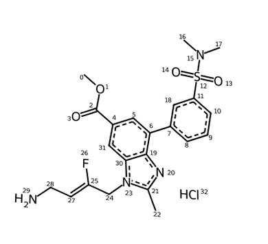 COC(=O)c1cc(-c2cccc(S(=O)(=O)N(C)C)c2)c2nc(C)n(C/C(F)=C/CN)c2c1.Cl